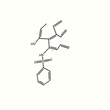 C=C/C=C(/NS(=O)(=O)c1ccccc1)C(=C(C=C)C=C)/C(O)=C\C